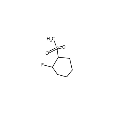 CS(=O)(=O)C1CCCCC1F